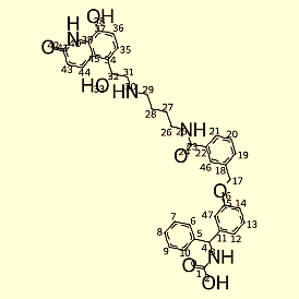 O=C(O)NC(c1ccccc1)c1cccc(OCc2cccc(C(=O)NCCCCNCC(O)c3ccc(O)c4[nH]c(=O)ccc34)c2)c1